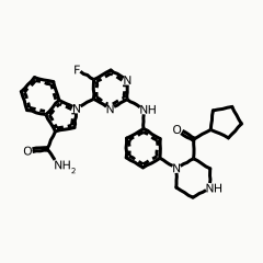 NC(=O)c1cn(-c2nc(Nc3cccc(N4CCNCC4C(=O)C4CCCC4)c3)ncc2F)c2ccccc12